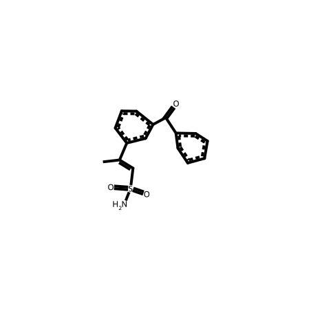 CC(=CS(N)(=O)=O)c1cccc(C(=O)c2ccccc2)c1